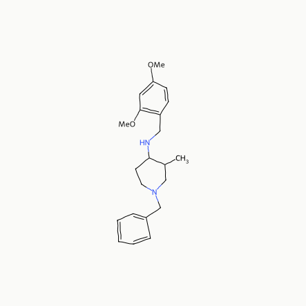 COc1ccc(CNC2CCN(Cc3ccccc3)CC2C)c(OC)c1